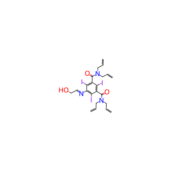 C=CCN(CC=C)C(=O)c1c(I)c(N=CCO)c(I)c(C(=O)N(CC=C)CC=C)c1I